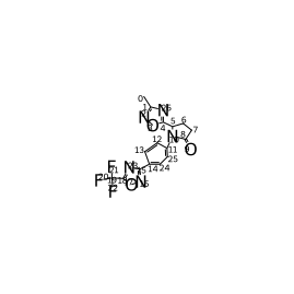 Cc1noc(C2CCC(=O)N2c2ccc(-c3noc(C(F)(F)F)n3)cc2)n1